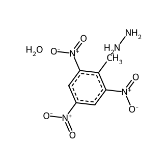 Cc1c([N+](=O)[O-])cc([N+](=O)[O-])cc1[N+](=O)[O-].NN.O